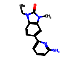 Cn1c(=O)n(CC(C)(C)C)c2ccc(-c3cccc(N)n3)cc21